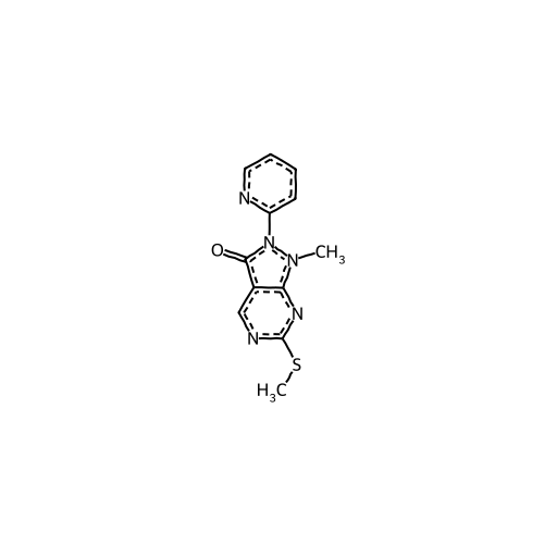 CSc1ncc2c(=O)n(-c3ccccn3)n(C)c2n1